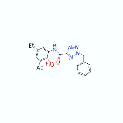 CCc1cc(NC(=O)c2nnn(Cc3ccccc3)n2)c(O)c(C(C)=O)c1